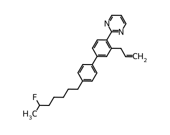 C=CCc1cc(-c2ccc(CCCCCC(C)F)cc2)ccc1-c1ncccn1